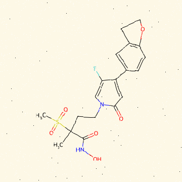 CC(CCn1cc(F)c(-c2ccc3c(c2)CCO3)cc1=O)(C(=O)NO)S(C)(=O)=O